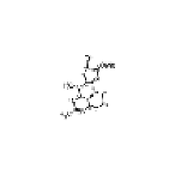 COc1ccc(N(C)c2nc(C)nc3ccccc23)cc1O